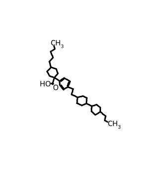 CCCCCC1CCC(C(=O)O)(c2ccc(CCC3CCC(C4CCC(CCC)CC4)CC3)cc2)CC1